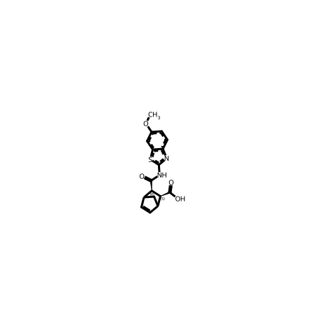 COc1ccc2nc(NC(=O)[C@@H]3C4C=CC(C4)[C@@H]3C(=O)O)sc2c1